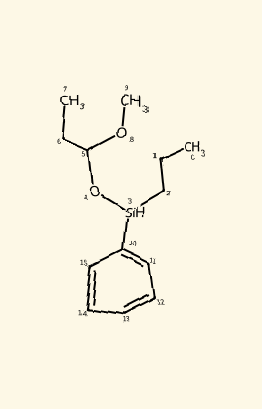 CCC[SiH](OC(CC)OC)c1ccccc1